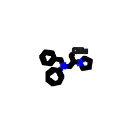 CC(C)COCC(CN(Cc1ccccc1)C1=CCC=CC=C1)N1CCCC1